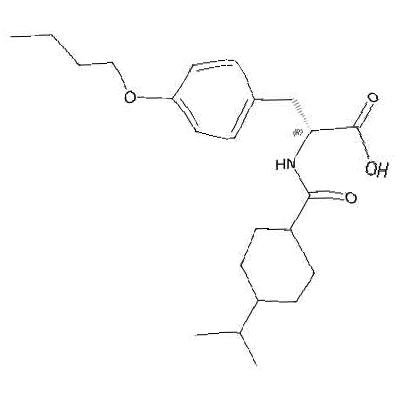 CCCCOc1ccc(C[C@@H](NC(=O)C2CCC(C(C)C)CC2)C(=O)O)cc1